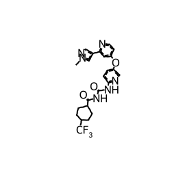 Cn1cc(-c2cc(Oc3ccc(NC(=O)NC(=O)C4CCC(C(F)(F)F)CC4)nc3)ccn2)cn1